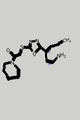 C=C/C=C(\C=C/N)c1nnc(SCC(=O)N2CCCCC2)o1